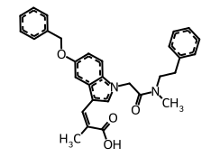 CC(=Cc1cn(CC(=O)N(C)CCc2ccccc2)c2ccc(OCc3ccccc3)cc12)C(=O)O